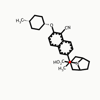 CC(c1ccc2c(C#N)c(O[C@H]3CC[C@@H](C)CC3)ccc2c1)N1C2CCC1CC(C(=O)O)C2